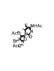 CC(=O)Nc1nc(=O)n([C@@H]2O[C@H](COC(C)=O)[C@H](Br)[C@H]2OC(C)=O)cc1I